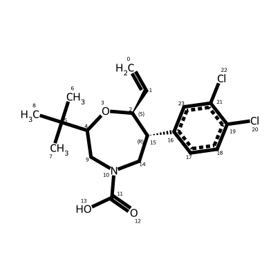 C=C[C@@H]1OC(C(C)(C)C)CN(C(=O)O)C[C@H]1c1ccc(Cl)c(Cl)c1